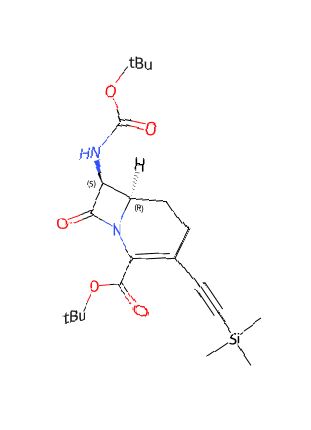 CC(C)(C)OC(=O)N[C@@H]1C(=O)N2C(C(=O)OC(C)(C)C)=C(C#C[Si](C)(C)C)CC[C@H]12